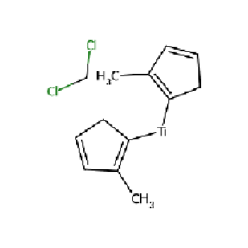 CC1=[C]([Ti][C]2=C(C)C=CC2)CC=C1.ClCCl